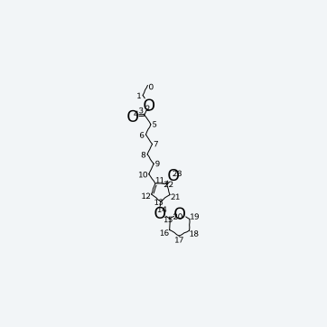 CCOC(=O)CCCCCCC1=CC(OC2CCCCO2)CC1=O